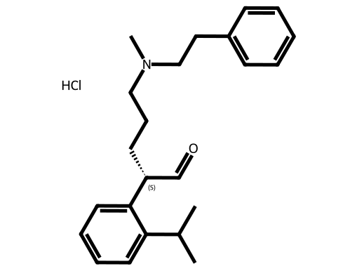 CC(C)c1ccccc1[C@@H](C=O)CCCN(C)CCc1ccccc1.Cl